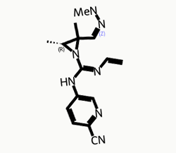 C=CN=C(Nc1ccc(C#N)nc1)N1[C@H](C)C1(C)/C=N\NC